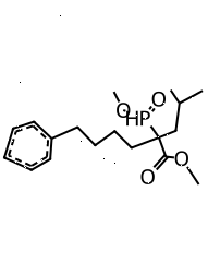 COC(=O)C(CCCCc1ccccc1)(CC(C)C)[PH](=O)OC